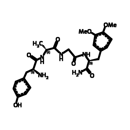 COc1ccc(C[C@H](NC(=O)CNC(=O)[C@@H](C)NC(=O)[C@@H](N)Cc2ccc(O)cc2)C(N)=O)cc1OC